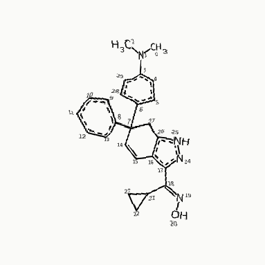 CN(C)c1ccc(C2(c3ccccc3)C=Cc3c(/C(=N/O)C4CC4)n[nH]c3C2)cc1